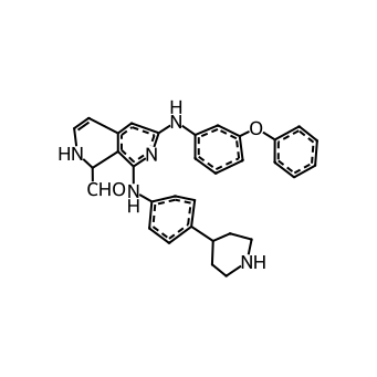 O=CC1NC=Cc2cc(Nc3cccc(Oc4ccccc4)c3)nc(Nc3ccc(C4CCNCC4)cc3)c21